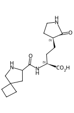 O=C(N[C@@H](CC[C@H]1CCNC1=O)C(=O)O)C1CC2(CCC2)CN1